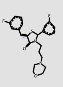 O=C1/C(=C/c2cccc(F)c2)SC(c2cccc(F)c2)N1CCCN1CCOCC1